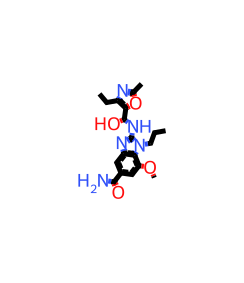 CCCn1c(NC(O)c2oc(C)nc2CC)nc2cc(C(N)=O)cc(OC)c21